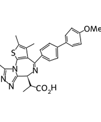 COc1ccc(-c2ccc(C3=N[C@@H](C(C)C(=O)O)c4nnc(C)n4-c4sc(C)c(C)c43)cc2)cc1